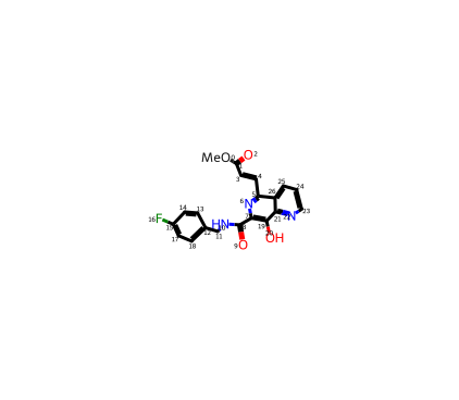 COC(=O)/C=C/c1nc(C(=O)NCc2ccc(F)cc2)c(O)c2ncccc12